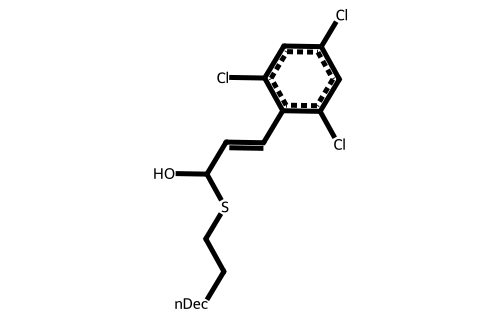 CCCCCCCCCCCCSC(O)C=Cc1c(Cl)cc(Cl)cc1Cl